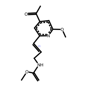 C=C(NC/C=C/c1cc(C(C)=O)cc(OC)n1)OC